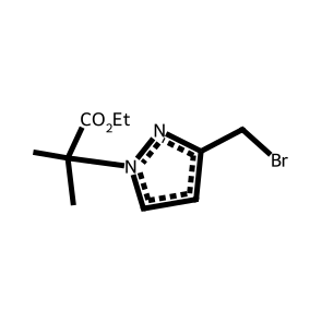 CCOC(=O)C(C)(C)n1ccc(CBr)n1